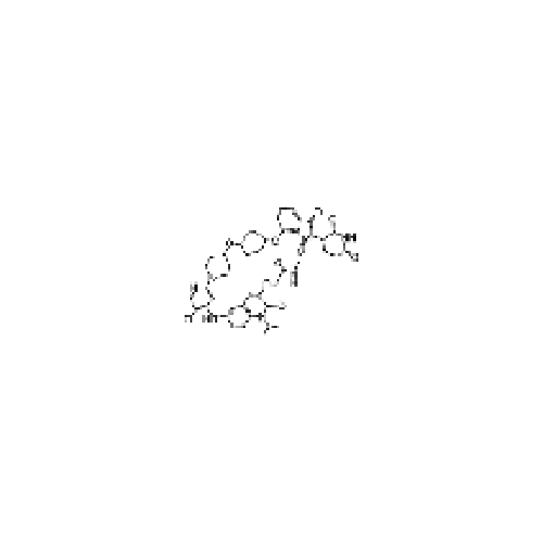 CNC(=O)COc1cc2cc(Nc3nc(N4CCC(OC5CCC(Oc6cccc7c6C(=O)N(C6CCC(=O)NC6=O)C7=O)CC5)CC4)ncc3Cl)ccc2n(C(C)C)c1=O